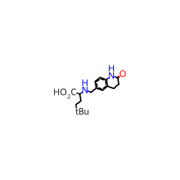 CC(C)(C)CCC(NCc1ccc2c(c1)CCC(=O)N2)C(=O)O